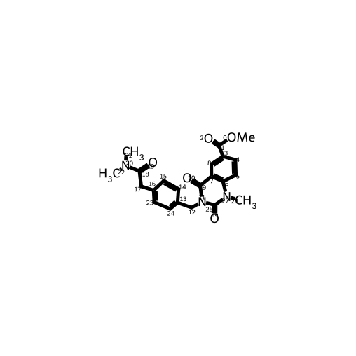 COC(=O)c1ccc2c(c1)c(=O)n(Cc1ccc(CC(=O)N(C)C)cc1)c(=O)n2C